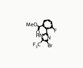 COC(=O)c1cccc(F)c1-c1nc(Br)c(C(F)(F)F)[nH]1